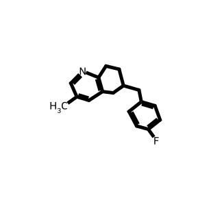 Cc1cnc2c(c1)CC(Cc1ccc(F)cc1)CC2